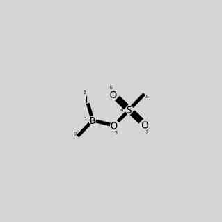 CB(I)OS(C)(=O)=O